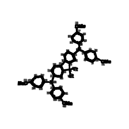 CCC1(CC)c2cc(N(c3ccc(OC)cc3)c3ccc(OC)cc3)ccc2-c2ccc(N(c3ccc(OC)cc3)c3ccc(OC)cc3)cc21